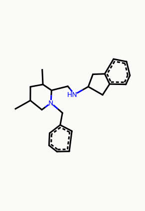 CC1CC(C)C(CNC2Cc3ccccc3C2)N(Cc2ccccc2)C1